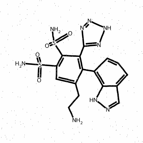 NCCc1cc(S(N)(=O)=O)c(S(N)(=O)=O)c(-c2nn[nH]n2)c1-c1cccc2cn[nH]c12